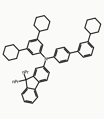 CCCC1(CCC)c2ccccc2-c2ccc(N(c3ccc(-c4cccc(C5CCCCC5)c4)cc3)c3cc(C4CCCCC4)cc(C4CCCCC4)c3)cc21